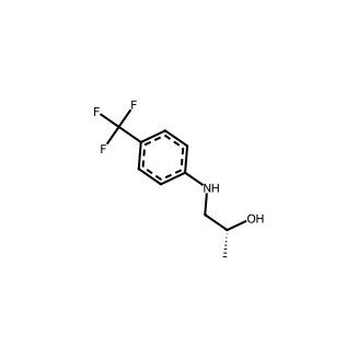 C[C@@H](O)CNc1ccc(C(F)(F)F)cc1